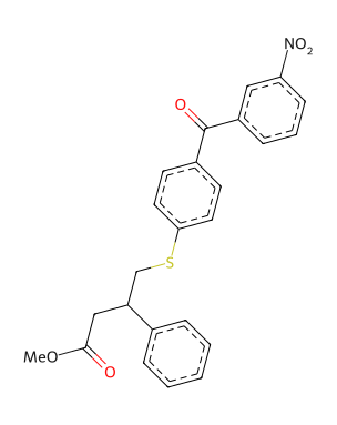 COC(=O)CC(CSc1ccc(C(=O)c2cccc([N+](=O)[O-])c2)cc1)c1ccccc1